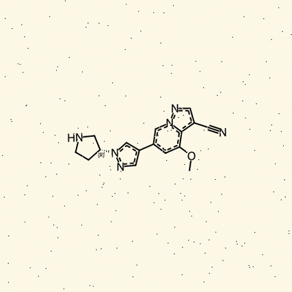 COc1cc(-c2cnn([C@@H]3CCNC3)c2)cn2ncc(C#N)c12